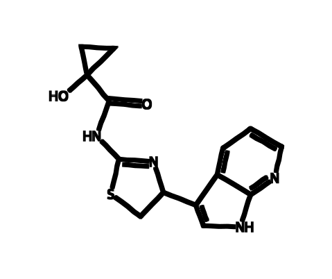 O=C(NC1=NC(c2c[nH]c3ncccc23)CS1)C1(O)CC1